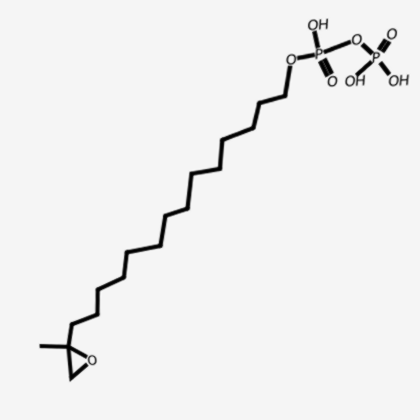 CC1(CCCCCCCCCCCCCCOP(=O)(O)OP(=O)(O)O)CO1